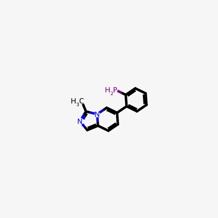 Cc1ncc2ccc(-c3ccccc3P)cn12